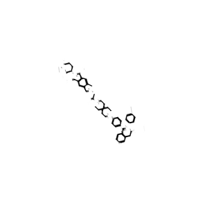 C[C@@H]1Cc2cc(O)ccc2[C@@H](c2ccc(N3CCC4(CCN(C(=O)CN5Cc6cc7c(cc6C5)C(=O)N(C5CCC(=O)NC5=O)C7=O)CC4)CC3)cc2)N1c1ccc(F)cc1